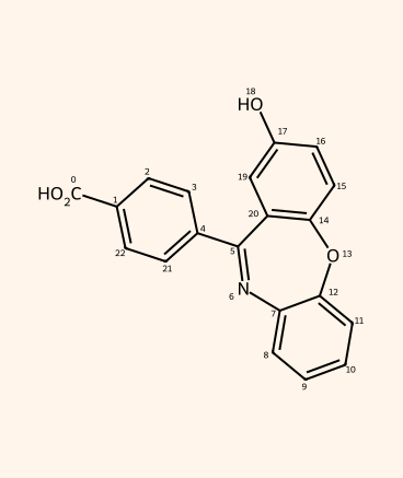 O=C(O)c1ccc(C2=Nc3ccccc3Oc3ccc(O)cc32)cc1